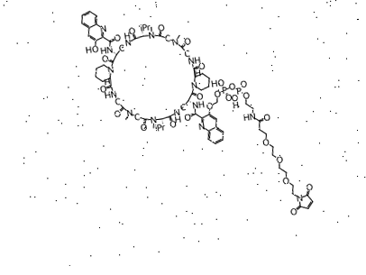 CC(C)[C@H]1C(=O)NC[C@@H](NC(=O)c2nc3ccccc3cc2OCOP(=O)(O)OP(=O)(O)OCCNC(=O)CCOCCOCCOCCN2C(=O)C=CC2=O)C(=O)N2CCCC[C@H]2C(=O)NCC(=O)N(C)CC(=O)N(C)[C@@H](C(C)C)C(=O)NC[C@@H](NC(=O)c2nc3ccccc3cc2O)C(=O)N2CCCC[C@H]2C(=O)NCC(=O)N(C)CC(=O)N1C